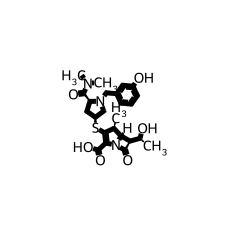 C[C@@H](O)[C@H]1C(=O)N2C(C(=O)O)=C(S[C@H]3C[C@@H](C(=O)N(C)C)N(Cc4cccc(O)c4)C3)[C@H](C)[C@H]12